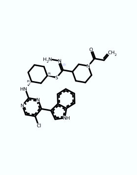 C=CC(=O)N1CCCC(/C(=N/N)S[C@@H]2CCC[C@@H](Nc3ncc(Cl)c(-c4c[nH]c5ccccc45)n3)C2)C1